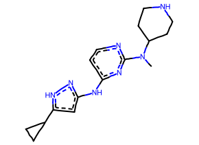 CN(c1nccc(Nc2cc(C3CC3)[nH]n2)n1)C1CCNCC1